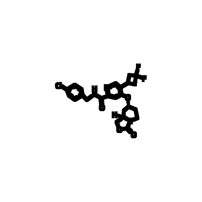 O=C(NCc1ccc(Cl)cc1)c1cc(O[C@H]2CCN3C(=O)OC[C@@H]3C2)c(C2CC(F)(F)C2)cn1